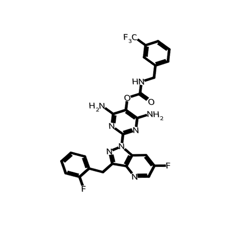 Nc1nc(-n2nc(Cc3ccccc3F)c3ncc(F)cc32)nc(N)c1OC(=O)NCc1cccc(C(F)(F)F)c1